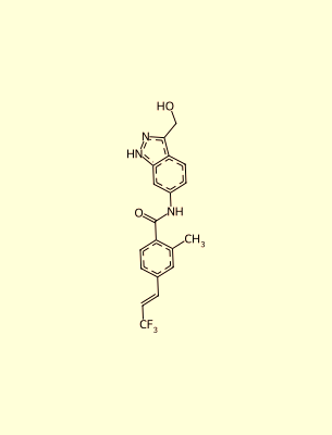 Cc1cc(C=CC(F)(F)F)ccc1C(=O)Nc1ccc2c(CO)n[nH]c2c1